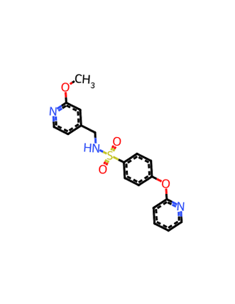 COc1cc(CNS(=O)(=O)c2ccc(Oc3ccccn3)cc2)ccn1